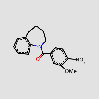 COc1cc(C(=O)N2CCCCc3ccccc32)ccc1[N+](=O)[O-]